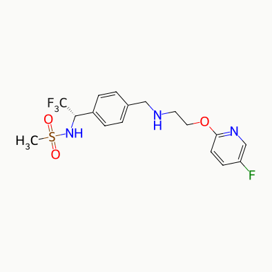 CS(=O)(=O)N[C@@H](c1ccc(CNCCOc2ccc(F)cn2)cc1)C(F)(F)F